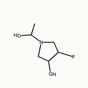 CC(O)N1CC(O)C(F)C1